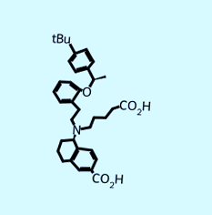 C[C@@H](Oc1ccccc1CCN(CCCCC(=O)O)[C@@H]1CCCc2cc(C(=O)O)ccc21)c1ccc(C(C)(C)C)cc1